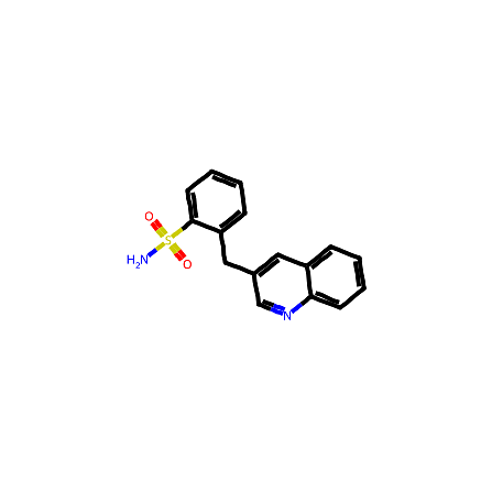 NS(=O)(=O)c1ccccc1Cc1cnc2ccccc2c1